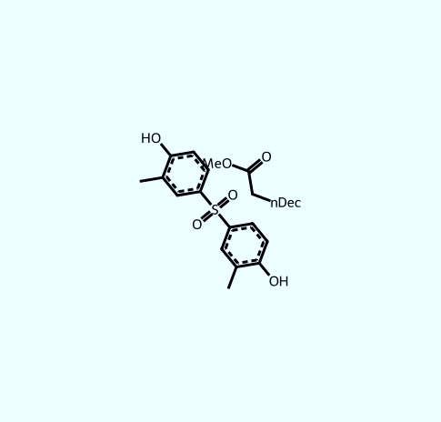 CCCCCCCCCCCC(=O)OC.Cc1cc(S(=O)(=O)c2ccc(O)c(C)c2)ccc1O